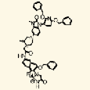 C[C@H]1CN(c2ccc3c(c2)n(C)c(=O)n3-c2ccc(OCc3ccccc3)nc2OCc2ccccc2)CC[C@H]1CC(=O)Nc1ccc2c(F)c(N3CC(=O)NS3(=O)=O)c(OCc3ccccc3)cc2c1